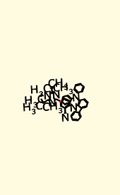 CC(C)(C)c1nc(-c2ccc(-n3c4ccccc4c4cccc(N(c5ccccc5)c5ccccc5)c43)c(C#N)c2)nc(C(C)(C)C)n1